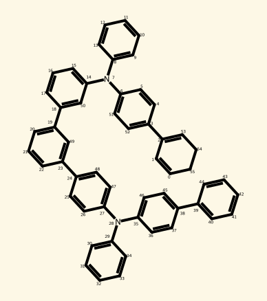 C1=CC(c2ccc(N(c3ccccc3)c3cccc(-c4cccc(-c5ccc(N(c6ccccc6)c6ccc(-c7ccccc7)cc6)cc5)c4)c3)cc2)=CCC1